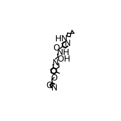 Cc1c(OCc2cnco2)ccc2c1CCN(CC(O)CNC(=O)c1ccnc(NC3CC4(CC4)C3)c1)C2